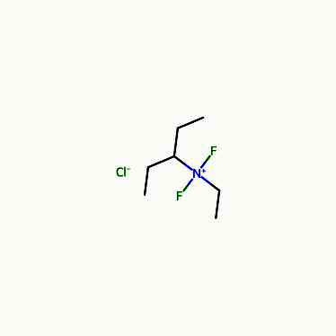 CCC(CC)[N+](F)(F)CC.[Cl-]